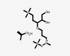 C=C(C)C(=O)O.C[SiH](CCCOC(CC[Si](C)(C)C)C(O)CO)O[Si](C)(C)C